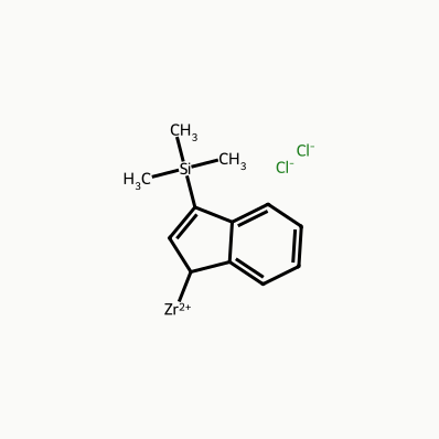 C[Si](C)(C)C1=C[CH]([Zr+2])c2ccccc21.[Cl-].[Cl-]